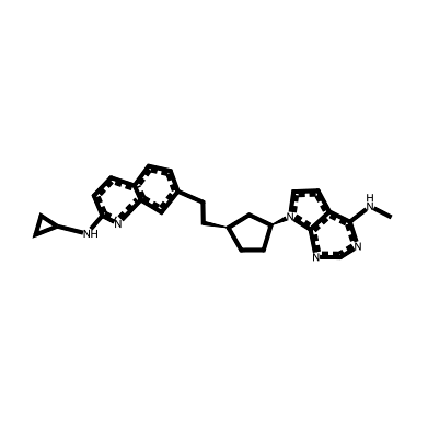 CNc1ncnc2c1ccn2[C@H]1CC[C@@H](CCc2ccc3ccc(NC4CC4)nc3c2)C1